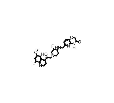 COc1cc(F)c2nccc([C@H](O)CN3CCC(NCc4ccc5c(n4)NC(=O)CO5)C(F)C3)c2c1